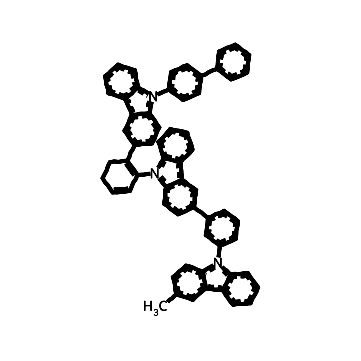 Cc1ccc2c(c1)c1ccccc1n2-c1cccc(-c2ccc3c(c2)c2ccccc2n3C2=C(c3ccc4c(c3)c3ccccc3n4-c3ccc(-c4ccccc4)cc3)CCC=C2)c1